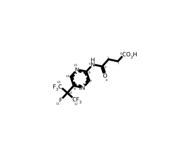 O=C(O)CCC(=O)Nc1cnc(C(F)(C(F)(F)F)C(F)(F)F)cn1